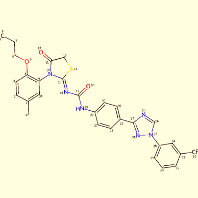 Cc1ccc(OCCC(F)(F)F)c(N2C(=O)CS/C2=N\C(=O)Nc2ccc(-c3ncn(-c4cccc(C(F)(F)F)c4)n3)cc2)c1